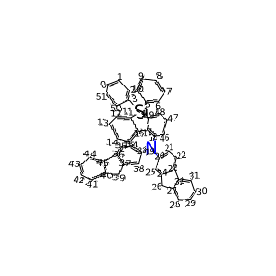 c1ccc([Si]2(c3ccccc3)c3ccccc3-c3c(N(c4ccc5c(c4)Cc4ccccc4-5)c4ccc5c(c4)Cc4ccccc4-5)cccc32)cc1